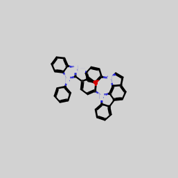 c1ccc(N2c3ccccc3NC2c2ccc(-n3c4ccccc4c4ccc5ccn(-c6ccccc6)c5c43)cc2)cc1